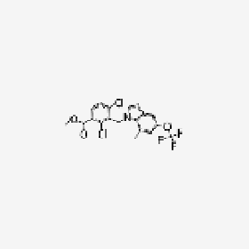 COC(=O)c1ccc(Cl)c(Cn2ccc3cc(OC(F)(F)F)cc(C)c32)c1Cl